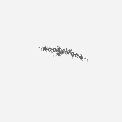 Cn1nnc(-c2ccc(-c3ccc(N4C[C@H](COCC(O)C(OP(=O)(O)O)[C@H]5CN(c6ccc(-c7ccc(-c8nnn(C)n8)nc7)c(F)c6)C(=O)O5)OC4=O)cc3F)cn2)n1